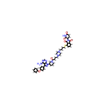 Nc1ncnc2c1c(-c1ccc(Oc3ccccc3)cc1)nn2[C@@H]1CCCN(C(=O)CCCN2CCN(CCCCSc3cccc4c3C(=O)N(C3CCC(=O)NC3=O)C4=O)CC2)C1